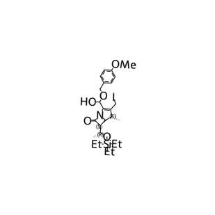 CC[Si](CC)(CC)O[C@H](C)[C@H]1C(=O)N2C(C(O)OCc3ccc(OC)cc3)=C(CI)[C@H](C)C12